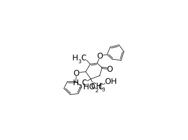 CC1=C(Oc2ccccc2)C(=O)CC(C)(C)C1Oc1ccccc1.O=C(O)O